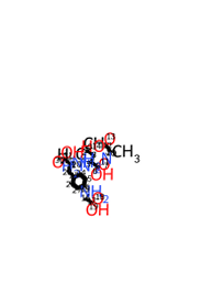 CC(C)C[C@H](N)C(=O)O.C[C@H](N)C(=O)O.NCC(=O)O.N[C@@H](Cc1ccccc1)C(=O)O